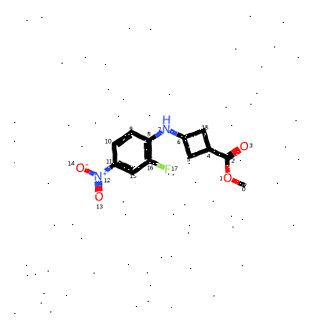 COC(=O)C1CC(Nc2ccc([N+](=O)[O-])cc2F)C1